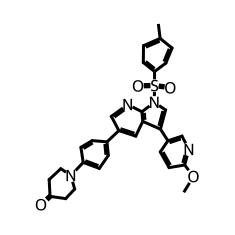 COc1ccc(-c2cn(S(=O)(=O)c3ccc(C)cc3)c3ncc(-c4ccc(N5CCC(=O)CC5)cc4)cc23)cn1